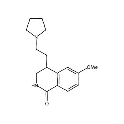 COc1ccc2c(c1)C(CCN1CCCC1)CNC2=O